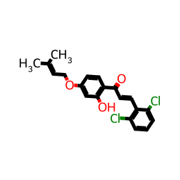 CC(C)=CCOc1ccc(C(=O)C=Cc2c(Cl)cccc2Cl)c(O)c1